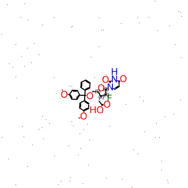 COc1ccc(C(OC[C@H]2O[C@@H](n3ccc(=O)[nH]c3=O)[C@H](F)[C@@H]2CC(=O)O)(c2ccccc2)c2ccc(OC)cc2)cc1